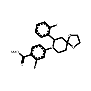 COC(=O)c1ccc(N2CCC3(CC2c2ccccc2Cl)OCCO3)cc1F